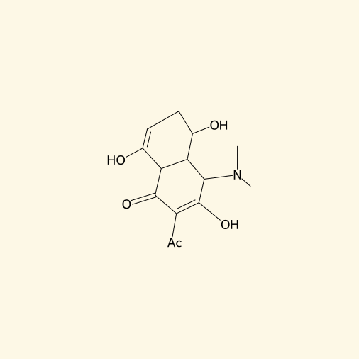 CC(=O)C1=C(O)C(N(C)C)C2C(O)CC=C(O)C2C1=O